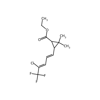 CCOC(=O)C1C(C=CC=C(Cl)C(F)(F)F)C1(C)C